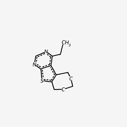 CCc1ncnc2sc3c(c12)CCCCC3